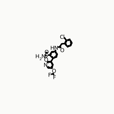 NS(=O)(=O)c1cc(NC(=O)Cc2ccccc2Cl)ccc1-c1cncc(OC(F)F)c1